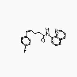 O=C(CC/C=C\c1ccc(F)cc1)Nc1cccc2cccnc12